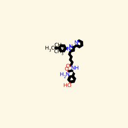 CC(C)(C)c1ccc(-n2nc(-c3ccccn3)cc2CCCCC(=O)N[C@@H](Cc2ccc(O)cc2)C(N)=O)cc1